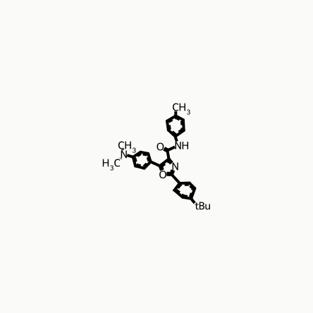 Cc1ccc(NC(=O)c2nc(-c3ccc(C(C)(C)C)cc3)oc2-c2ccc(N(C)C)cc2)cc1